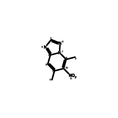 Cc1cc2ncnn2c(C)c1[N+](=O)[O-]